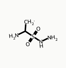 [CH2]C(N)S(=O)(=O)NN